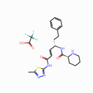 Cc1nnc(NC(=O)C=C[C@H](CCc2ccccc2)NC(=O)[C@@H]2CCCCN2)s1.O=C(O)C(F)(F)F